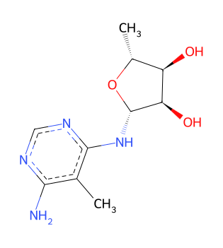 Cc1c(N)ncnc1N[C@@H]1O[C@H](C)[C@@H](O)[C@H]1O